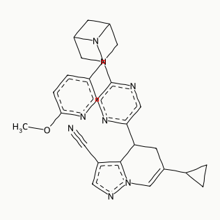 COc1ccc(CN2C3CC2CN(c2cnc(C4CC(C5CC5)=Cn5ncc(C#N)c54)cn2)C3)cn1